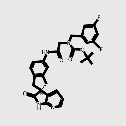 CC(C)(C)OC(=O)N(CC(=O)Nc1ccc2c(c1)C[C@@]1(C2)C(=O)Nc2ncccc21)Cc1cc(F)cc(F)c1